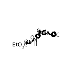 CCOC(=O)C(=O)CSCC(=O)Nc1ccc(C(=O)N2CCN(CCc3ccc(Cl)cc3)CC2)cc1